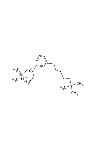 CC/C(=C\[Si](C)(C)C)c1cccc(CCCCCC(C)(C)C)c1